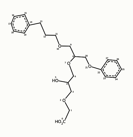 O=C(O)COCC(O)COC(COCCCc1ccccc1)COc1ccccc1